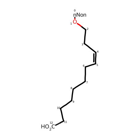 CCCCCCCCCOCC/C=C\CCCCCCC(=O)O